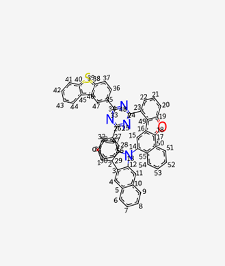 C1=CC2c3cc4ccccc4cc3N(c3cc4c(oc5cccc(-c6nc(-c7ccccc7)nc(-c7ccc8sc9ccccc9c8c7)n6)c54)c4ccccc34)C2C=C1